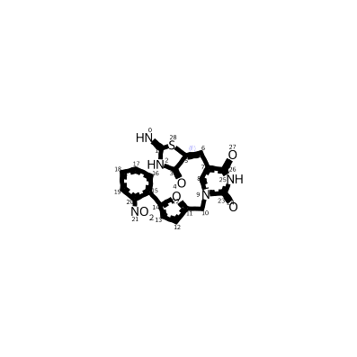 N=C1NC(=O)/C(=C\c2cn(Cc3ccc(-c4ccccc4[N+](=O)[O-])o3)c(=O)[nH]c2=O)S1